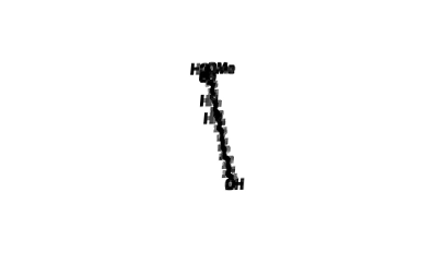 COP(=O)(O)OCCCCNCCCNCCCCCCCCCCCCCO